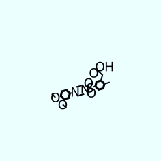 COc1ccc(N2CCN(S(=O)(=O)c3ccc(C)c(CC(=O)O)c3)CC2)cc1OC